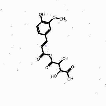 COc1cc(/C=C/C(=O)OC(=O)C(O)C(O)C(=O)O)ccc1O